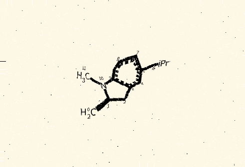 C=C1Cc2cc(C(C)C)ccc2N1C